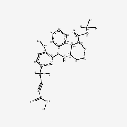 COC(=O)C#CC(C)(C)c1ccc(OC)c(CN[C@H]2CCCN(C(=O)OC(C)(C)C)[C@H]2c2ccccc2)c1